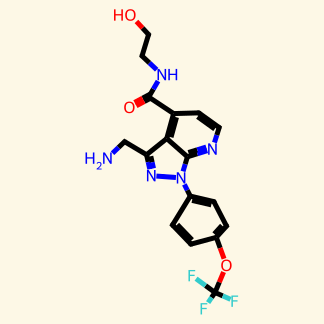 NCc1nn(-c2ccc(OC(F)(F)F)cc2)c2nccc(C(=O)NCCO)c12